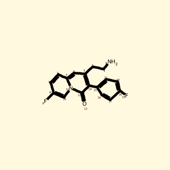 NCCc1cc2ccc(F)cn2c(=O)c1-c1ccc(F)cc1